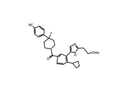 COCCc1ncc(-c2cc(C(=O)N3CCC(F)(c4ccc(C#N)cc4)CC3)ccc2C2CCC2)[nH]1